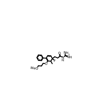 COCCCOC1=C(c2ccccc2)C=CC(F)(CCC(=O)NC(=N)N)C1C